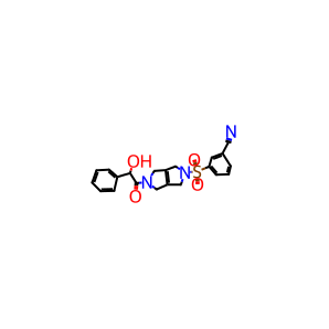 N#Cc1cccc(S(=O)(=O)N2CC3=C(CN(C(=O)C(O)c4ccccc4)C3)C2)c1